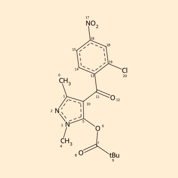 Cc1nn(C)c(OC(=O)C(C)(C)C)c1C(=O)c1ccc([N+](=O)[O-])cc1Cl